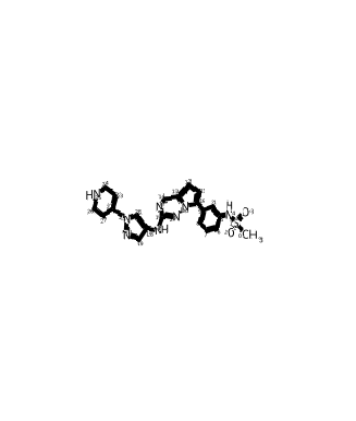 CS(=O)(=O)Nc1cccc(-c2ccc3cnc(Nc4cnn(C5CCNCC5)c4)nn23)c1